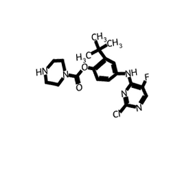 CC(C)(C)c1cc(Nc2nc(Cl)ncc2F)ccc1OC(=O)N1CCNCC1